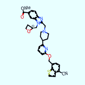 COC(=O)c1ccc2nc(CN3CCC(c4cccc(OCc5ccc(C#N)c6ccsc56)n4)CC3)n(C[C@@H]3CCO3)c2c1